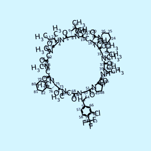 CC[C@H](C)[C@@H]1NC(=O)[C@H](CC(C)C)N(C)C(=O)C[C@@H](C(=O)N2CCCCC2)N(C)C(=O)[C@H](C(C)C)N(C)C(=O)[C@@](C)(CC)NC(=O)[C@@H]2CCCN2C(=O)[C@H](CCc2ccc(C(F)(F)F)c(Cl)c2)NC(=O)CN(C)C(=O)[C@H](CC2CCCCC2)N(C)C(=O)CN(C)C(=O)CN(C)C1=O